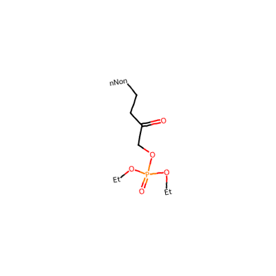 CCCCCCCCCCCC(=O)COP(=O)(OCC)OCC